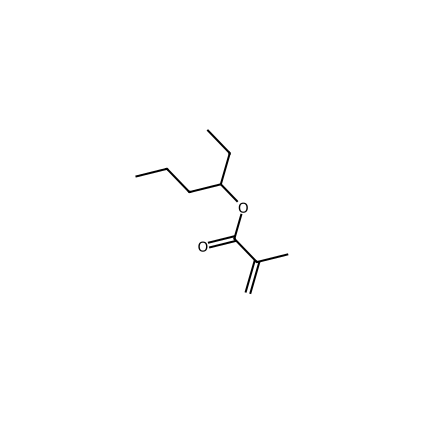 C=C(C)C(=O)OC(CC)CCC